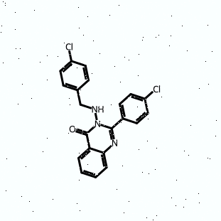 O=c1c2ccccc2nc(-c2ccc(Cl)cc2)n1NCc1ccc(Cl)cc1